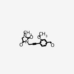 COc1cc(C=O)ccc1C#CCN1C(=O)CN(C)C1=O